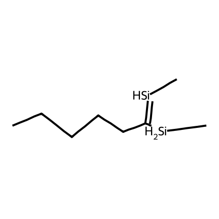 CCCCCC(=[SiH]C)[SiH2]C